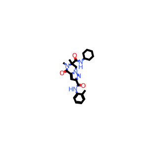 Cc1ccccc1NC(=O)c1cc2n(n1)CC(C)(C(=O)NC1CCCCC1)N(C)C2=O